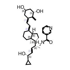 C=C1/C(=C\C=C2/CCC[C@]3(C)[C@@H]([C@H](C)/C=C/[C@@H](O)C4CC4)CC[C@@H]23)C[C@@H](O)C[C@@H]1O.NC(=O)c1cccnc1